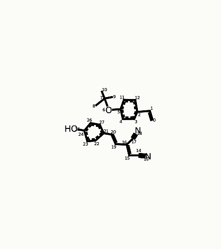 C=Cc1ccc(OC(C)(C)C)cc1.N#CC=C(C#N)C=Cc1ccc(O)cc1